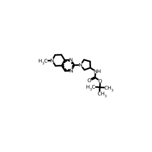 CN1CCc2nc(N3CCC(NC(=O)OC(C)(C)C)C3)ncc2C1